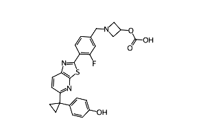 O=C(O)OC1CN(Cc2ccc(-c3nc4ccc(C5(c6ccc(O)cc6)CC5)nc4s3)c(F)c2)C1